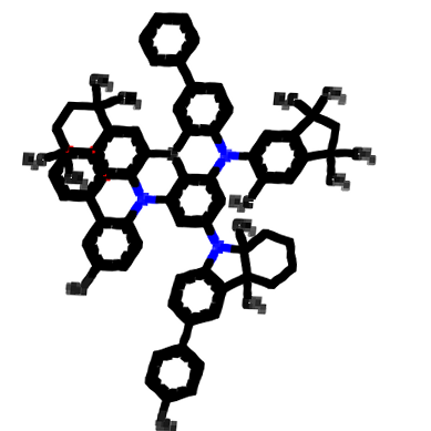 Cc1cc2c(cc1N1c3ccc(-c4ccccc4)cc3B3c4cc5c(cc4N(c4ccc(C(C)(C)C)cc4-c4ccccc4)c4cc(N6c7ccc(-c8ccc(C(C)(C)C)cc8)cc7C7(C)CCCCC67C)cc1c43)C(C)(C)CCC5(C)C)C(C)(C)CC2(C)C